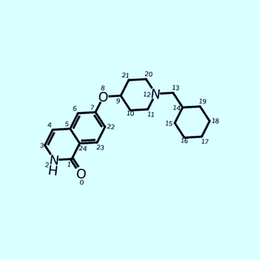 O=c1[nH]ccc2cc(OC3CCN(CC4CCCCC4)CC3)ccc12